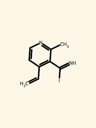 C=Cc1ccnc(C)c1C(=N)I